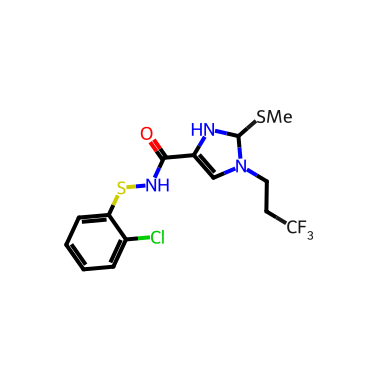 CSC1NC(C(=O)NSc2ccccc2Cl)=CN1CCC(F)(F)F